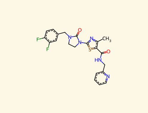 Cc1nc(N2CCN(Cc3ccc(F)c(F)c3)C2=O)sc1C(=O)NCc1ccccn1